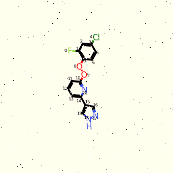 Fc1cc(Cl)ccc1OOc1cccc(-c2cn[nH]c2)n1